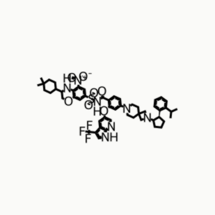 CC(C)c1ccccc1[C@H]1CCCC1N1CC2(CCN(c3ccc(C(=O)NS(=O)(=O)c4cc5c(c([N+](=O)[O-])c4)NC(C4CCC(C)(C)CC4)CO5)c(Oc4cnc5[nH]cc(C(F)(F)F)c5c4)c3)CC2)C1